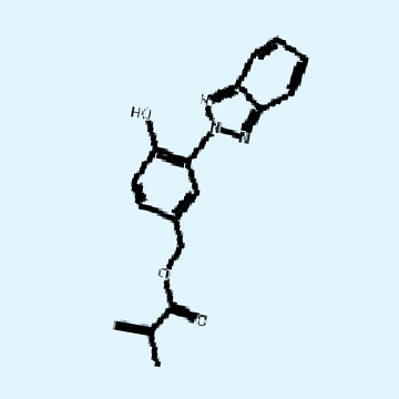 C=C(C)C(=O)OCc1ccc(O)c(-n2nc3ccccc3n2)c1